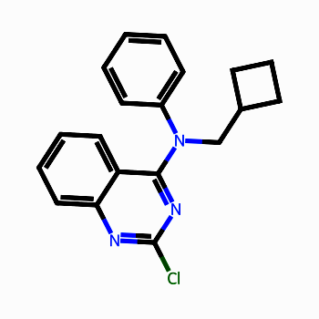 Clc1nc(N(CC2CCC2)c2ccccc2)c2ccccc2n1